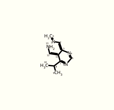 C=N/C=c1/ncnc(C(C)C)/c1=C/N